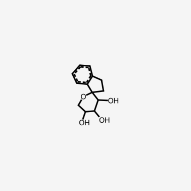 OC1COC2(CCc3ccccc32)C(O)C1O